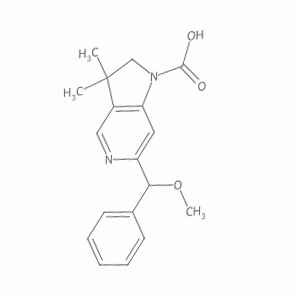 COC(c1ccccc1)c1cc2c(cn1)C(C)(C)CN2C(=O)O